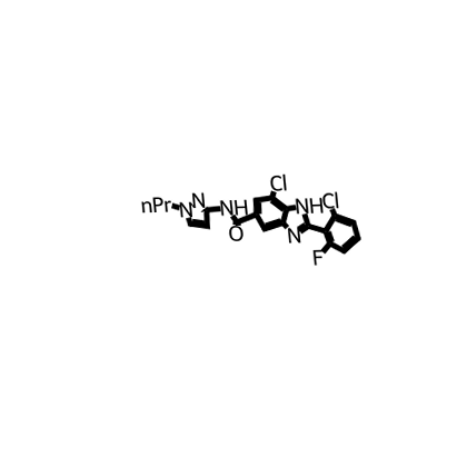 CCCn1ccc(NC(=O)c2cc(Cl)c3[nH]c(-c4c(F)cccc4Cl)nc3c2)n1